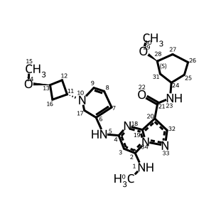 CNc1cc(NC2=CC=CN([C@H]3C[C@H](OC)C3)C2)nc2c(C(=O)NC3CCC[C@H](OC)C3)cnn12